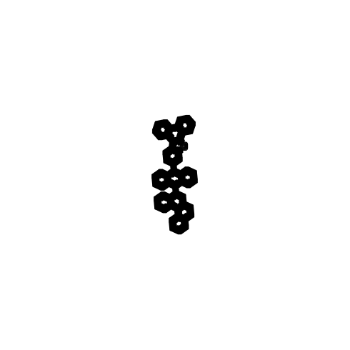 c1ccc2c(c1)ccc1cc(-c3c4ccccc4c(-c4ccc5c(c4)oc4c6ccccc6c6ccccc6c54)c4ccccc34)c3ccccc3c12